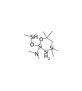 CN(C)[Si]1(O[SiH](C)C)OC(C)(C)C[Si](C)(C)[SiH2]1